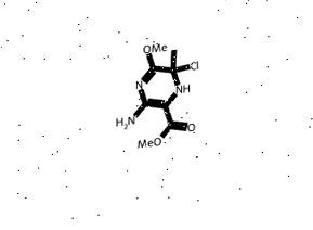 COC(=O)C1=C(N)N=C(OC)C(C)(Cl)N1